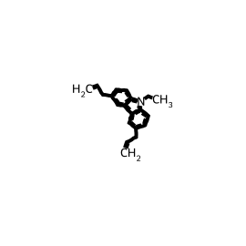 C=CCc1ccc2c(c1)c1cc(CC=C)ccc1n2CC